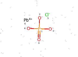 O=P([O-])([O-])[O-].[Cl-].[Pb+4]